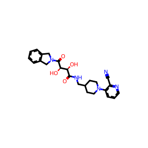 N#Cc1ncccc1N1CCC(CNC(=O)[C@H](O)[C@@H](O)C(=O)N2Cc3ccccc3C2)CC1